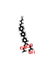 C=C(C)C(=O)OCC(COC(=O)C(=C)CO)c1ccc(-c2ccc(-c3ccc(CCCCC)cc3)cc2)cc1